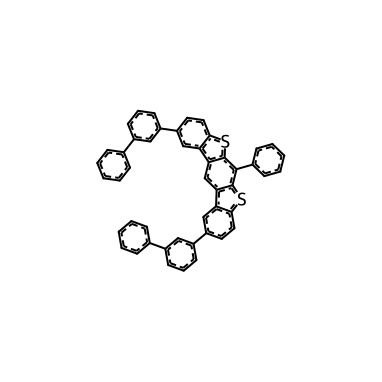 c1ccc(-c2cccc(-c3ccc4sc5c(-c6ccccc6)c6sc7ccc(-c8cccc(-c9ccccc9)c8)cc7c6cc5c4c3)c2)cc1